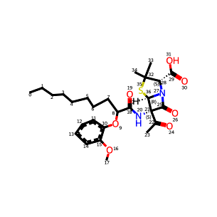 CCCCCCCCC(Oc1ccccc1OC)C(=O)N[C@@]1(C(C)=O)C(=O)N2[C@@H](C(=O)O)C(C)(C)S[C@@H]21